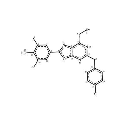 Cc1cc(-c2nc3c(CC(C)C)nc(Cc4ccc(Cl)cc4)nc3o2)cc(C)c1O